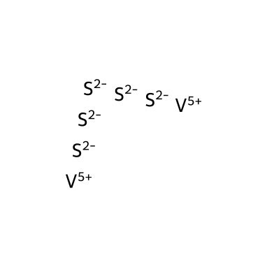 [S-2].[S-2].[S-2].[S-2].[S-2].[V+5].[V+5]